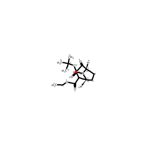 CCOC(=O)C1NC(=O)[C@@H]2CC[C@H]1N2C(=O)OC(C)(C)C